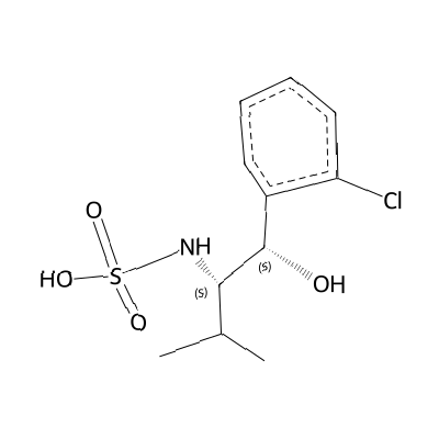 CC(C)[C@H](NS(=O)(=O)O)[C@@H](O)c1ccccc1Cl